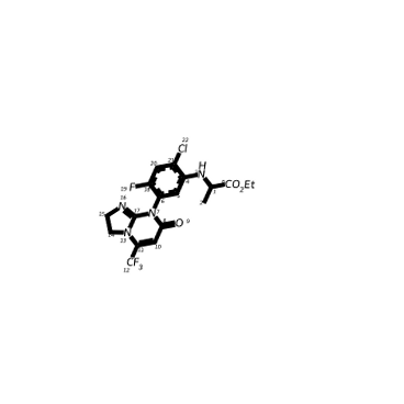 CCOC(=O)C(C)Nc1cc(N2C(=O)C=C(C(F)(F)F)N3CCN=C32)c(F)cc1Cl